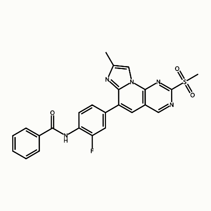 Cc1cn2c(n1)c(-c1ccc(NC(=O)c3ccccc3)c(F)c1)cc1cnc(S(C)(=O)=O)nc12